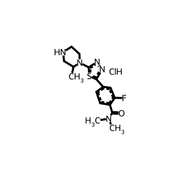 CC1CNCCN1c1nnc(-c2ccc(C(=O)N(C)C)c(F)c2)s1.Cl